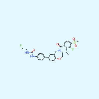 CCc1c(C(=O)N2CCOc3ccc(-c4ccc(NC(=O)NCCF)cc4)cc3C2)ccc(S(C)(=O)=O)c1F